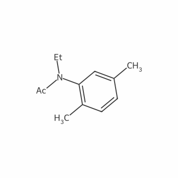 CCN(C(C)=O)c1cc(C)ccc1C